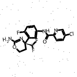 NC1=N[C@@](c2cc(NC(=O)c3ccc(Cl)cn3)ccc2F)(C(F)F)CCO1